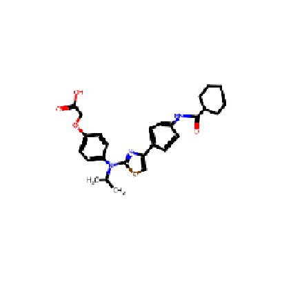 CC(C)N(c1ccc(OCC(=O)O)cc1)c1nc(-c2ccc(NC(=O)C3CCCCC3)cc2)cs1